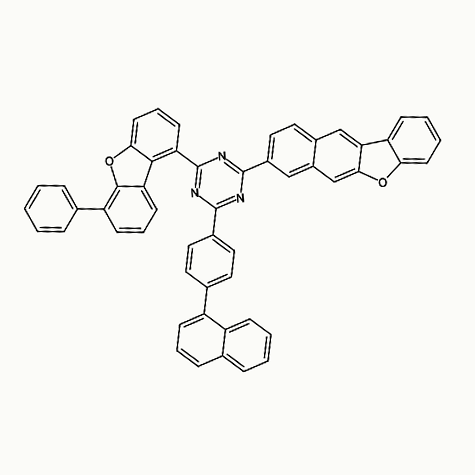 c1ccc(-c2cccc3c2oc2cccc(-c4nc(-c5ccc(-c6cccc7ccccc67)cc5)nc(-c5ccc6cc7c(cc6c5)oc5ccccc57)n4)c23)cc1